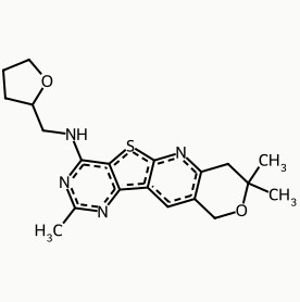 Cc1nc(NCC2CCCO2)c2sc3nc4c(cc3c2n1)COC(C)(C)C4